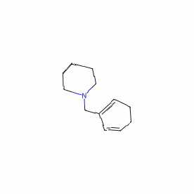 C1=CC(CN2CCCCC2)=CCC1